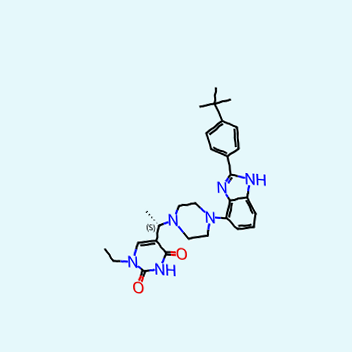 CCn1cc([C@H](C)N2CCN(c3cccc4[nH]c(-c5ccc(C(C)(C)C)cc5)nc34)CC2)c(=O)[nH]c1=O